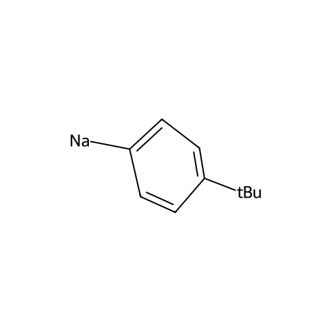 CC(C)(C)c1cc[c]([Na])cc1